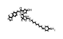 Cc1ncsc1-c1ccc(CNC(=O)C2CC(O)CN2C(=O)[C@@H](NC(=O)COCCCCCCCCN2CCC(N)CC2)C(C)(C)C)cc1